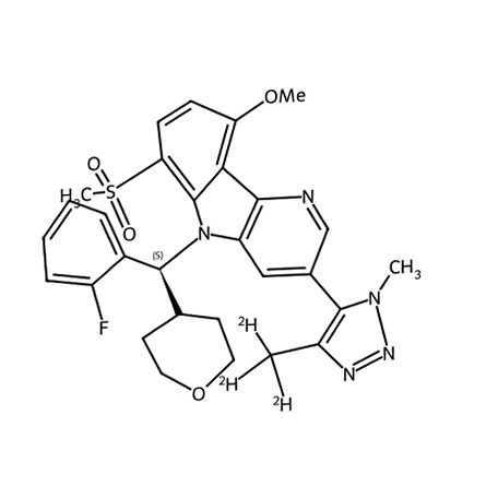 [2H]C([2H])([2H])c1nnn(C)c1-c1cnc2c3c(OC)ccc(S(C)(=O)=O)c3n([C@H](c3ccccc3F)C3CCOCC3)c2c1